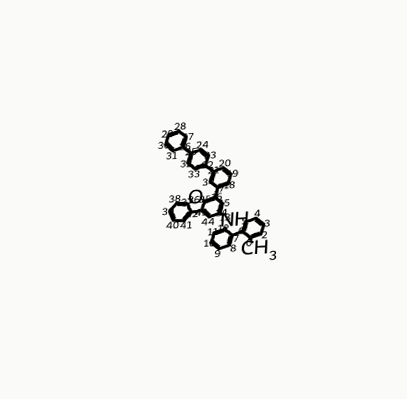 Cc1ccccc1-c1ccccc1Nc1cc(-c2cccc(-c3ccc(-c4ccccc4)cc3)c2)c2oc3ccccc3c2c1